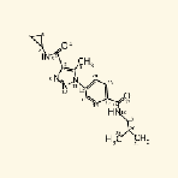 Cc1c(C(=O)NC2CC2)nnn1-c1ccc(C(=O)NCC(C)C)cc1